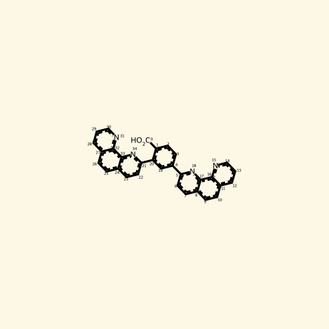 O=C(O)c1ccc(-c2ccc3ccc4cccnc4c3n2)cc1-c1ccc2ccc3cccnc3c2n1